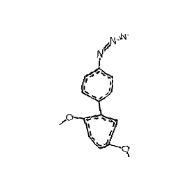 COc1ccc(OC)c(-c2ccc(N=[N+]=[N-])cc2)c1